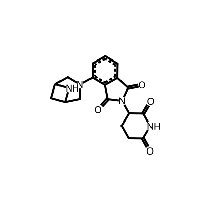 O=C1CCC(N2C(=O)c3cccc(N4CC5CC(C4)N5)c3C2=O)C(=O)N1